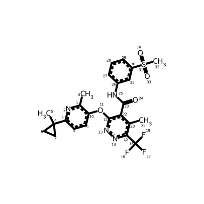 Cc1nc(C2(C)CC2)ccc1Oc1nnc(C(F)(F)F)c(C)c1C(=O)Nc1cccc(S(C)(=O)=O)c1